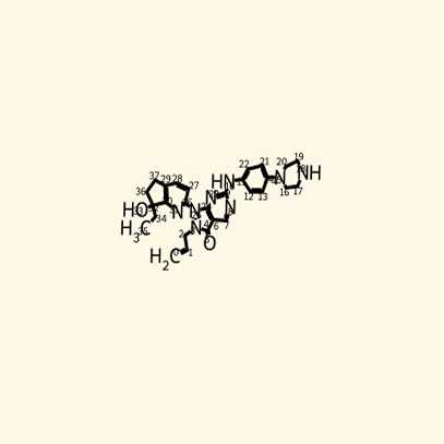 C=CCn1c(=O)c2cnc(Nc3ccc(N4CCNCC4)cc3)nc2n1-c1ccc2c(n1)C(O)(CC)CC2